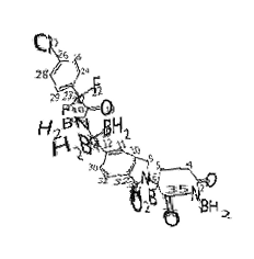 BN1C(=O)CCC(B)(N2Cc3cc(C(B)(B)N(B)C(=O)C(F)(F)c4ccc(Cl)cc4)ccc3C2=O)C1=O